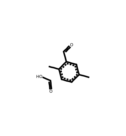 Cc1ccc(C)c(C=O)c1.O=CO